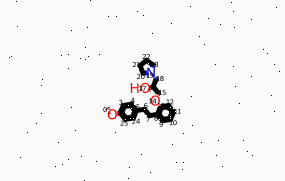 COc1ccc(CCc2ccccc2OC[C@H](O)CN2CCCC2)cc1